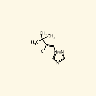 CC(C)(C)/C(Cl)=C/n1cncn1